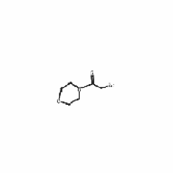 CC(=O)CC(=S)N1CCOCC1